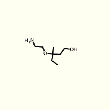 CCC(C)(CCO)OCCN